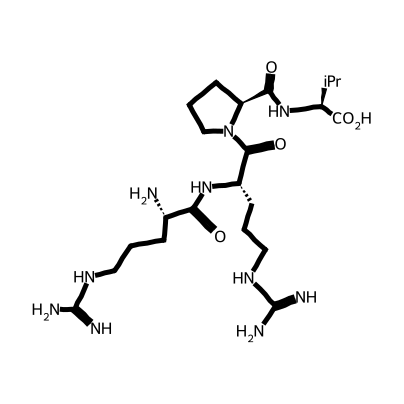 CC(C)[C@H](NC(=O)[C@@H]1CCCN1C(=O)[C@H](CCCNC(=N)N)NC(=O)[C@@H](N)CCCNC(=N)N)C(=O)O